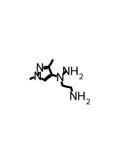 Cc1nn(C)cc1N(N)CCN